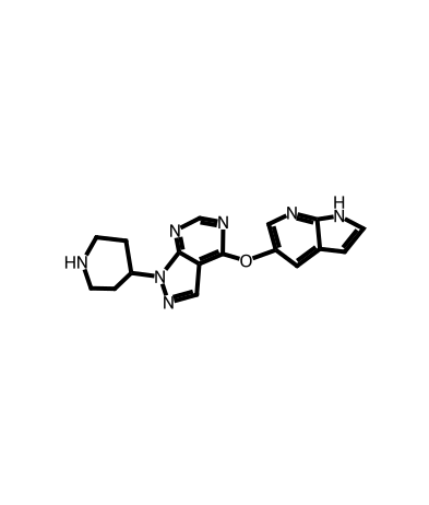 c1nc(Oc2cnc3[nH]ccc3c2)c2cnn(C3CCNCC3)c2n1